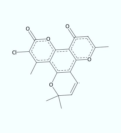 Cc1cc(=O)c2c(o1)c1c(c3c(C)c(Cl)c(=O)oc32)OC(C)(C)C=[C]1